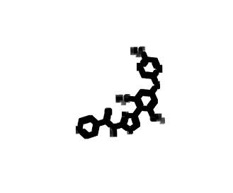 Cc1cnc(Sc2cc(C)c(-c3csc(NC(=O)c4ccncc4)n3)c(C)c2)cn1